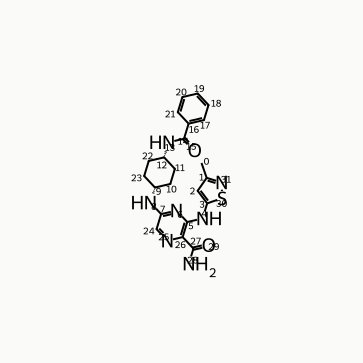 Cc1cc(Nc2nc(N[C@H]3CC[C@@H](NC(=O)c4ccccc4)CC3)cnc2C(N)=O)sn1